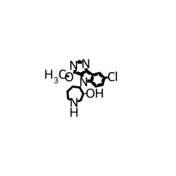 COc1ncnc2c3cc(Cl)ccc3n([C@@H]3CCCNC[C@H]3O)c12